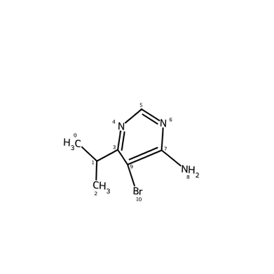 CC(C)c1ncnc(N)c1Br